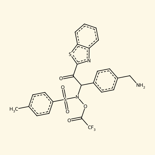 Cc1ccc(S(=O)(=O)N(OC(=O)C(F)(F)F)C(C(=O)c2nc3ccccc3s2)c2ccc(CN)cc2)cc1